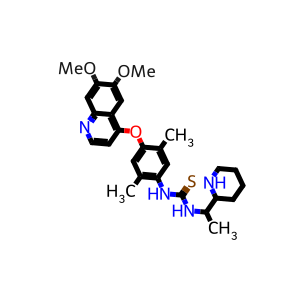 COc1cc2nccc(Oc3cc(C)c(NC(=S)NC(C)C4CCCCN4)cc3C)c2cc1OC